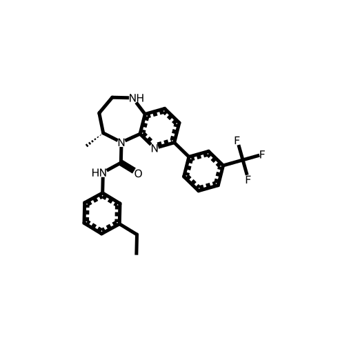 CCc1cccc(NC(=O)N2c3nc(-c4cccc(C(F)(F)F)c4)ccc3NCC[C@H]2C)c1